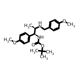 COc1ccc(CN[C@H](C)[C@@H](NC(=O)OC(C)(C)C)c2ccc(OC)cc2)cc1